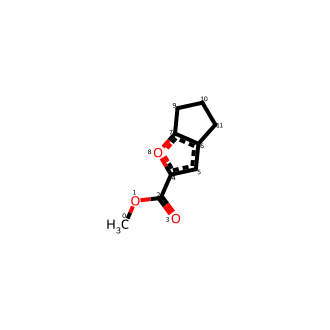 COC(=O)c1cc2c(o1)CCC2